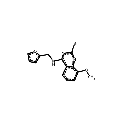 COc1cccc2c(NCc3ccco3)nc(Br)nc12